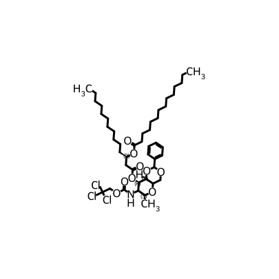 CCCCCCCCCCCCCC(=O)O[C@H](CCCCCCCCCCC)CC(=O)O[C@@H]1C(NC(=O)OCC(Cl)(Cl)Cl)[C@H](C)OC2COC(c3ccccc3)O[C@H]21